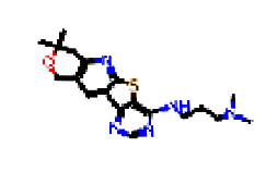 CN(C)CCCNc1ncnc2c1sc1nc3c(cc12)COC(C)(C)C3